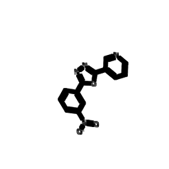 O=[N+]([O-])c1cccc(-c2nnc(-c3cccnc3)o2)c1